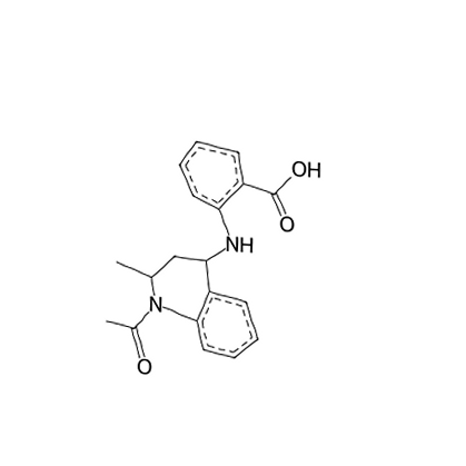 CC(=O)N1c2ccccc2C(Nc2ccccc2C(=O)O)CC1C